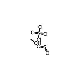 CO.O=S(=O)(Cl)Cl.O=S=O